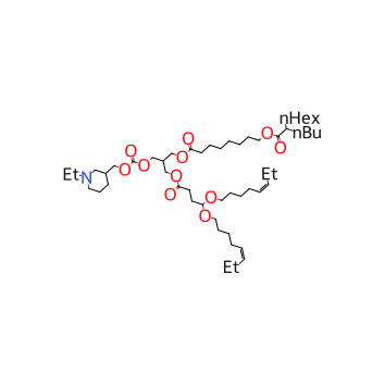 CC/C=C\CCCCOC(CCC(=O)OCC(COC(=O)CCCCCCCOC(=O)C(CCCC)CCCCCC)COC(=O)OCC1CCCN(CC)C1)OCCCC/C=C\CC